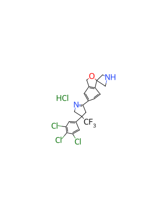 Cl.FC(F)(F)C1(c2cc(Cl)c(Cl)c(Cl)c2)CN=C(c2ccc3c(c2)COC32CNC2)C1